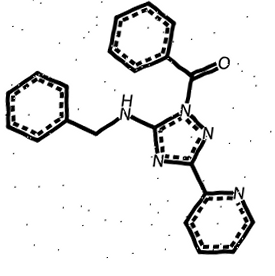 O=C(c1ccccc1)n1nc(-c2ccccn2)nc1NCc1ccccc1